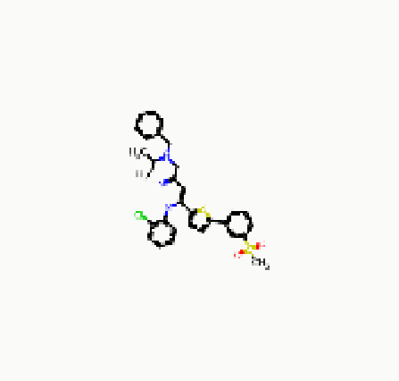 CC(C)N(CC(=N)/C=C(\Nc1ccccc1Cl)c1ccc(-c2cccc(S(C)(=O)=O)c2)s1)Cc1ccccc1